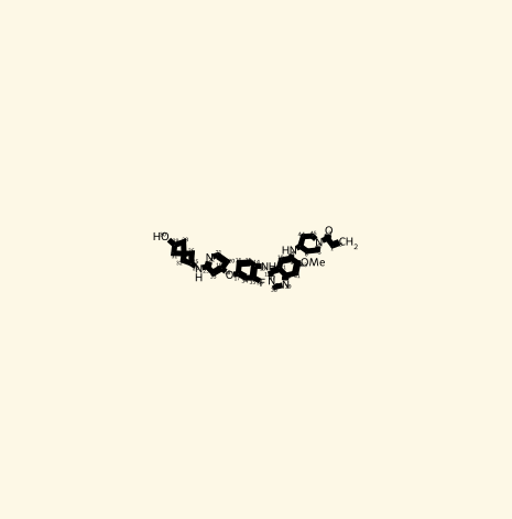 C=CC(=O)N1CCC(Nc2cc3c(Nc4ccc(Oc5ccnc(NC6CC7(CC(O)C7)C6)c5)cc4F)ncnc3cc2OC)CC1